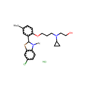 COc1ccc(OCCCN(CCO)C2CC2)c(C2Sc3cc(Cl)ccc3N2C(C)=O)c1.Cl